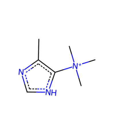 Cc1nc[nH]c1[N+](C)(C)C